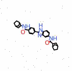 O=C(NC1CC2CCC1C2)c1ccc(-c2nc3cc(NC(=O)C4CC5CCC4C5)ccc3[nH]2)cc1